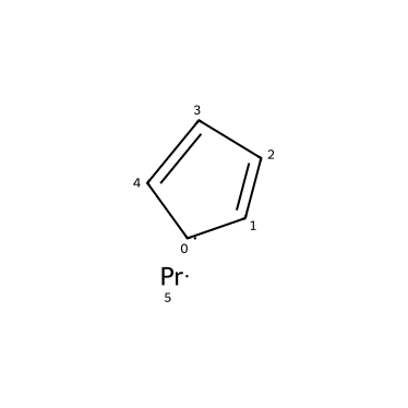 [CH]1C=CC=C1.[Pr]